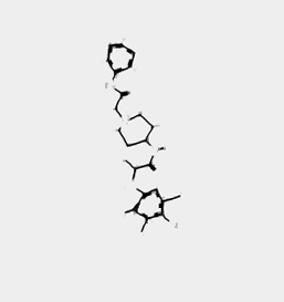 CCN(C(=O)C(C)Oc1cc(C)c(N)c(C)c1C)C1CCN(CC(=O)Nc2ccccc2)CC1